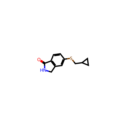 O=C1NCc2cc(SCC3CC3)ccc21